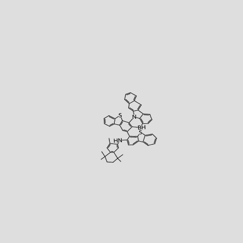 Cc1cc2c(cc1Nc1ccc3c(sc4ccccc43)c1-c1cc3c(sc4ccccc43)c3c1Bc1cccc4c5cc6ccccc6cc5n-3c14)C(C)(C)CCC2(C)C